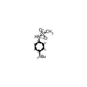 CCCCc1ccc(NS(C)(=O)=O)cc1